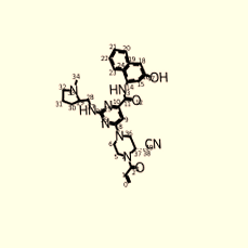 C=CC(=O)N1CCN(c2cc(C(=O)Nc3cc(O)cc4ccccc34)nc(NCC3CCCN3C)n2)C[C@@H]1CC#N